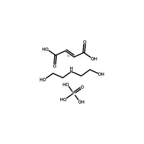 O=C(O)/C=C/C(=O)O.O=P(O)(O)O.OCCNCCO